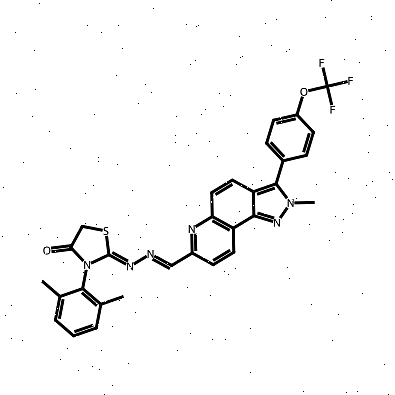 Cc1cccc(C)c1N1C(=O)CSC1=NN=Cc1ccc2c(ccc3c(-c4ccc(OC(F)(F)F)cc4)n(C)nc32)n1